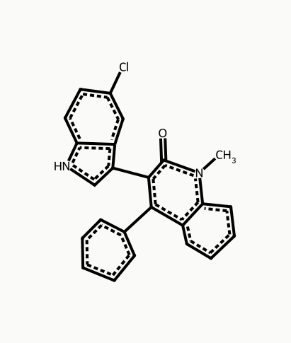 Cn1c(=O)c(-c2c[nH]c3ccc(Cl)cc23)c(-c2ccccc2)c2ccccc21